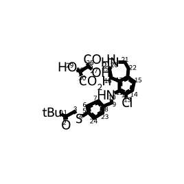 CC(C)(C)C(=O)CSc1ccc(CNc2c(Cl)ccc3c2CCNCC3)cc1.O=C(O)C(O)C(O)C(=O)O